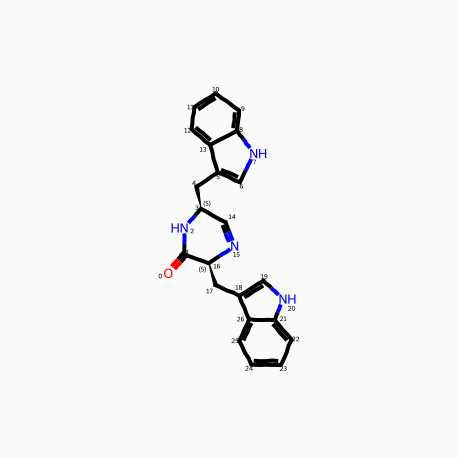 O=C1N[C@@H](Cc2c[nH]c3ccccc23)C=N[C@H]1Cc1c[nH]c2ccccc12